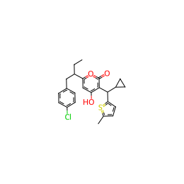 CCC(Cc1ccc(Cl)cc1)c1cc(O)c(C(c2ccc(C)s2)C2CC2)c(=O)o1